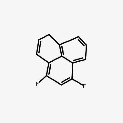 Fc1cc(F)c2cccc3c2c1C=CC3